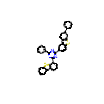 c1ccc(-c2ccc3c(c2)sc2ccc(-c4nc(-c5ccccc5)nc(-c5cccc6c5sc5ccccc56)n4)cc23)cc1